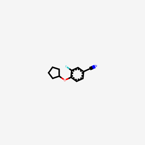 N#Cc1ccc(OC2CCCC2)c(F)c1